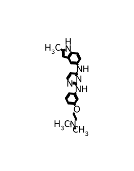 Cc1cc2cc(Nc3ccnc(Nc4cccc(OCCN(C)C)c4)n3)ccc2[nH]1